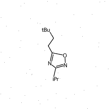 CC(C)c1noc(CCC(C)(C)C)n1